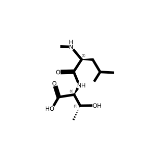 CN[C@@H](CC(C)C)C(=O)N[C@H](C(=O)O)[C@@H](C)O